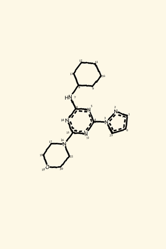 c1cnn(-c2nc(NC3CCCCC3)nc(N3CCOCC3)n2)c1